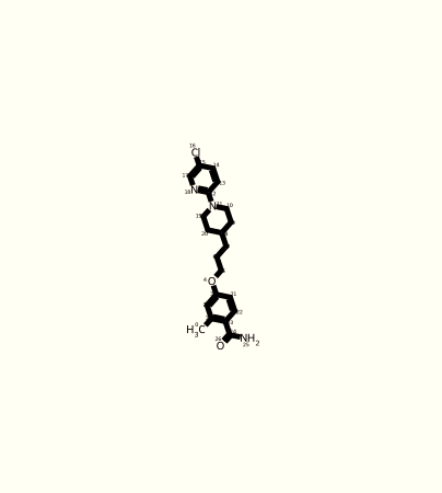 Cc1cc(OCCCC2CCN(c3ccc(Cl)cn3)CC2)ccc1C(N)=O